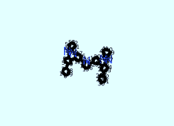 c1ccc(-c2ccc3c(c2)c2cc(-c4cccc(-c5ccc6c(c5)c5cc(-c7ccccc7)ccc5c5nc7ccccc7n65)n4)ccc2n2c4ccccc4nc32)cc1